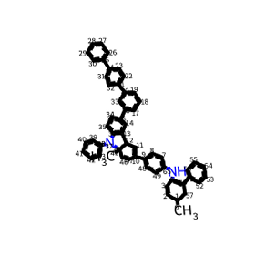 CC1C=CC(Nc2ccc(C3=CC4c5cc(-c6cccc(-c7ccc(-c8ccccc8)cc7)c6)ccc5N(c5ccccc5)C4(C)C=C3)cc2)=C(c2ccccc2)C1